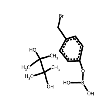 CC(C)(O)C(C)(C)O.OB(O)Oc1ccc(CBr)cc1